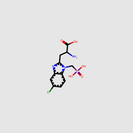 NC(Cc1nc2cc(Cl)ccc2n1CP(=O)(O)O)C(=O)O